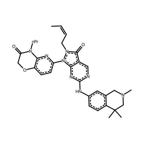 C/C=C\Cn1c(=O)c2cnc(Nc3ccc4c(c3)CN(C)CC4(C)C)nc2n1-c1ccc2c(n1)N(CCC)C(=O)CO2